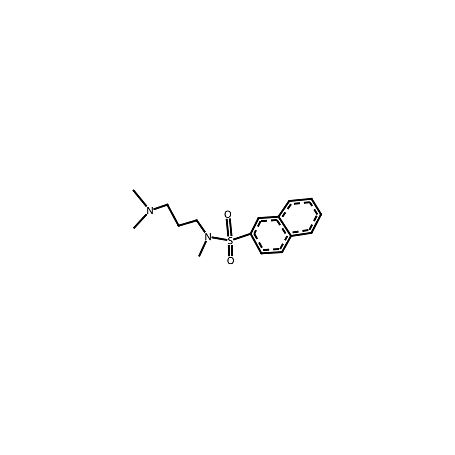 CN(C)CCCN(C)S(=O)(=O)c1ccc2ccccc2c1